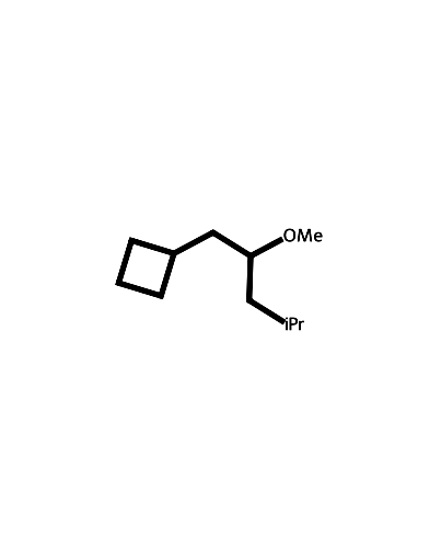 COC(CC(C)C)CC1CCC1